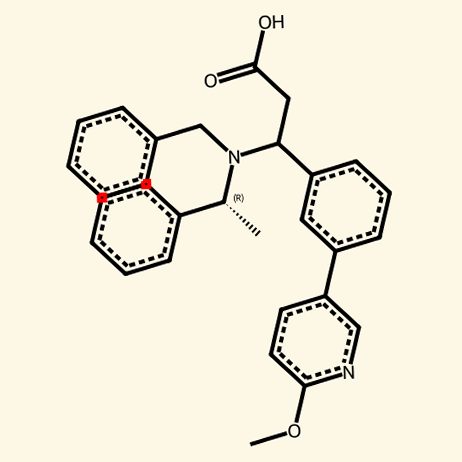 COc1ccc(-c2cccc(C(CC(=O)O)N(Cc3ccccc3)[C@H](C)c3ccccc3)c2)cn1